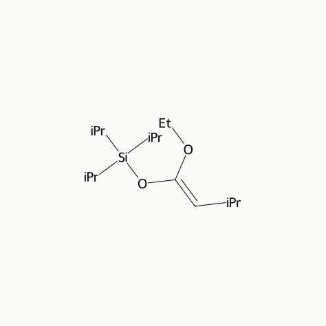 CCO/C(=C\C(C)C)O[Si](C(C)C)(C(C)C)C(C)C